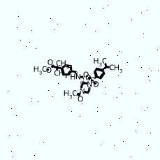 COC(=O)C(C)(C)c1ccc(CNC(=O)[C@H]2CN(C(C)=O)CCN2S(=O)(=O)c2ccc(C(C)C)cc2)cc1